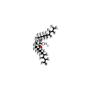 CC(S(=O)(=O)C(F)(F)C(F)(F)C(F)(F)C(F)(F)C(F)C(F)C(F)C(F)F)S(=O)(=O)C(F)(F)C(F)(F)C(F)(F)C(F)(F)C(F)C(F)C(F)C(F)F